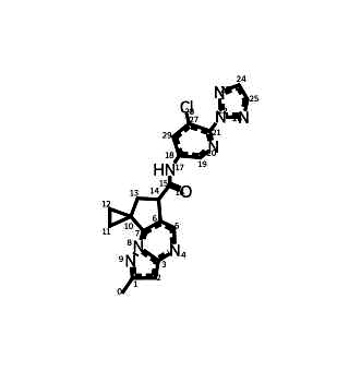 Cc1cc2ncc3c(n2n1)C1(CC1)CC3C(=O)Nc1cnc(-n2nccn2)c(Cl)c1